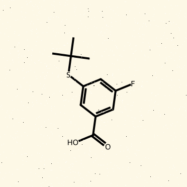 CC(C)(C)Sc1cc(F)cc(C(=O)O)c1